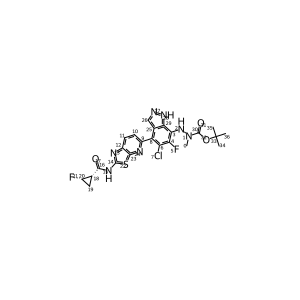 CN(Nc1c(F)c(Cl)c(-c2ccc3nc(NC(=O)[C@@H]4C[C@@H]4F)sc3n2)c2cn[nH]c12)C(=O)OC(C)(C)C